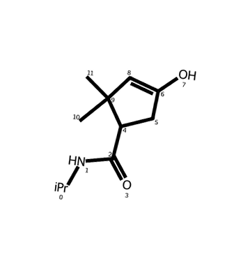 CC(C)NC(=O)C1CC(O)=CC1(C)C